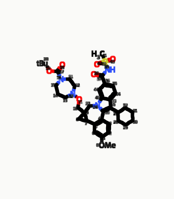 COc1ccc2c(c1)C1CC1(CON1CCCN(C(=O)OC(C)(C)C)CC1)Cn1c-2c(C2CCCCC2)c2ccc(C(=O)NS(C)(=O)=O)cc21